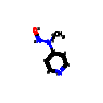 CN(N=O)c1ccncc1